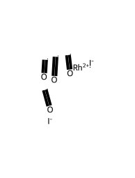 [C]=O.[C]=O.[C]=O.[C]=O.[I-].[I-].[Rh+2]